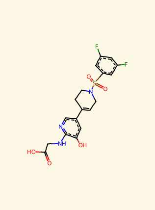 O=C(O)CNc1ncc(C2=CCN(S(=O)(=O)c3cc(F)cc(F)c3)CC2)cc1O